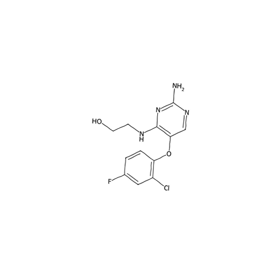 Nc1ncc(Oc2ccc(F)cc2Cl)c(NCCO)n1